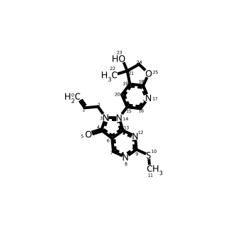 C=CCn1c(=O)c2cnc(SC)nc2n1-c1cnc2c(c1)C(C)(O)CO2